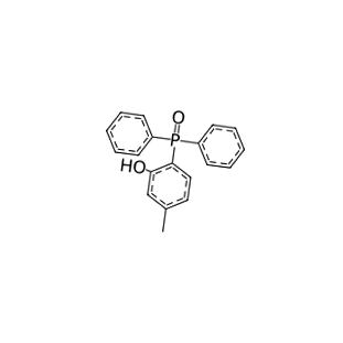 Cc1ccc(P(=O)(c2ccccc2)c2ccccc2)c(O)c1